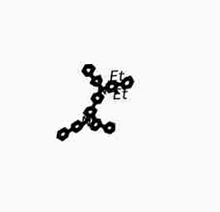 CCc1ccccc1-c1ccc(N(c2ccc(-c3ccccc3)cc2)c2ccc(-c3ccc4c(c3)c3cc(-c5ccccc5)ccc3n4-c3ccc(-c4ccccc4)cc3)cc2)cc1CC